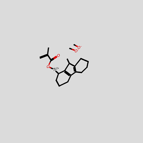 C=C(C)C(=O)[O][Ti+2][CH]1CCCC2=C1C(C)C1=C2CCCC1.C[O-].C[O-]